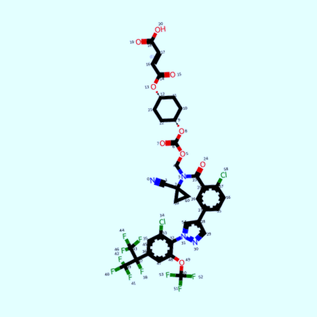 N#CC1(N(COC(=O)O[C@H]2CC[C@@H](OC(=O)/C=C/C(=O)O)CC2)C(=O)c2cc(-c3cnn(-c4c(Cl)cc(C(F)(C(F)(F)F)C(F)(F)F)cc4OC(F)(F)F)c3)ccc2Cl)CC1